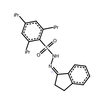 CC(C)c1cc(C(C)C)c(S(=O)(=O)N/N=C2/CCc3ccccc32)c(C(C)C)c1